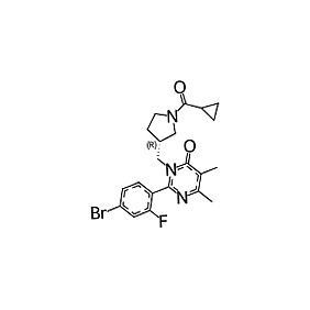 Cc1nc(-c2ccc(Br)cc2F)n(C[C@@H]2CCN(C(=O)C3CC3)C2)c(=O)c1C